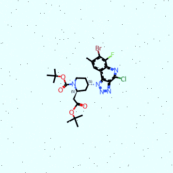 Cc1cc2c(nc(Cl)c3nnn([C@H]4CCN(C(=O)OC(C)(C)C)[C@H](CC(=O)OC(C)(C)C)C4)c32)c(F)c1Br